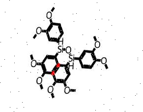 COc1ccc([SiH](O[SiH](c2ccc(OC)c(OC)c2)c2ccc(OC)c(OC)c2)c2ccc(OC)c(OC)c2)cc1OC